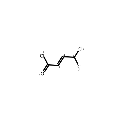 O=C(Cl)C=CC(Cl)Cl